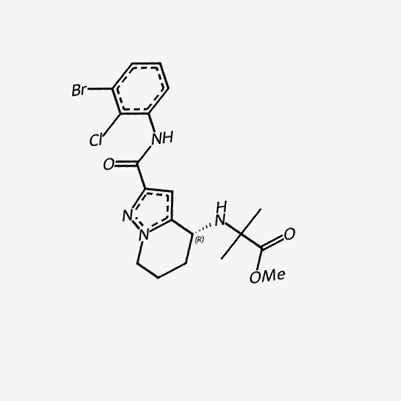 COC(=O)C(C)(C)N[C@@H]1CCCn2nc(C(=O)Nc3cccc(Br)c3Cl)cc21